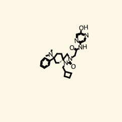 CN(C)[C@]1(c2ccccc2)CC[C@]2(CC1)CN(CC(=O)Nc1cnc(O)cn1)C(=O)N2CC1CCC1